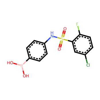 O=S(=O)(Nc1ccc(B(O)O)cc1)c1cc(Cl)ccc1F